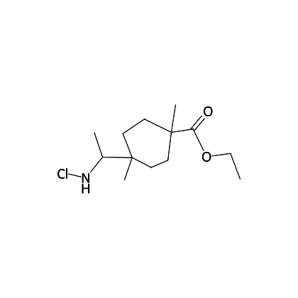 CCOC(=O)C1(C)CCC(C)(C(C)NCl)CC1